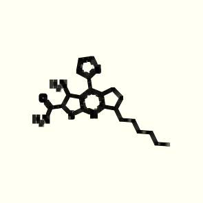 CCCCCCC1CCc2c1nc1c(c2-c2cccs2)C(N)C(C(N)=O)S1